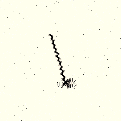 CCCCCCCCCCCCCCCCCCCCCC(C)(C)I(N)(N)(N)N